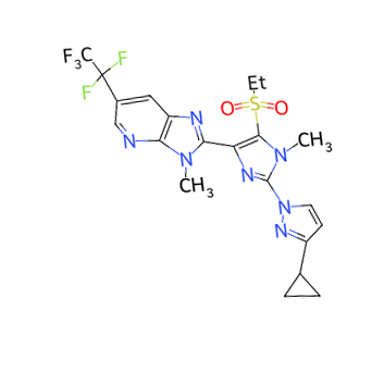 CCS(=O)(=O)c1c(-c2nc3cc(C(F)(F)C(F)(F)F)cnc3n2C)nc(-n2ccc(C3CC3)n2)n1C